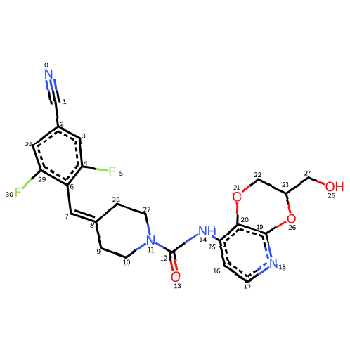 N#Cc1cc(F)c(C=C2CCN(C(=O)Nc3ccnc4c3OCC(CO)O4)CC2)c(F)c1